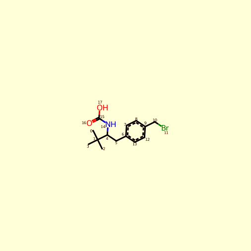 CC(C)(C)C(Cc1ccc(CBr)cc1)NC(=O)O